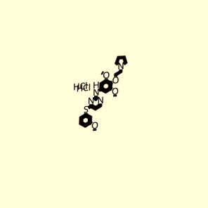 COc1cccc(Sc2ccnc(Nc3cc(OC)c(OCCN4CCCC4)c(OC)c3)n2)c1.Cl.Cl